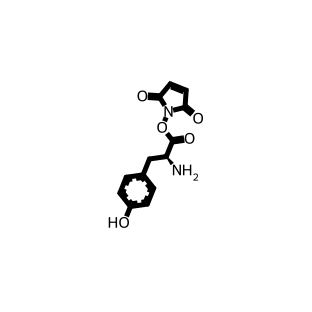 N[C@@H](Cc1ccc(O)cc1)C(=O)ON1C(=O)C=CC1=O